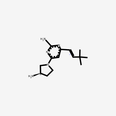 CC(C)(C)/C=C/c1cc(N2CC[C@@H](N)C2)nc(N)n1